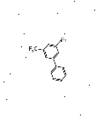 CC(C)c1cc(-c2ccccc2)cc(C(F)(F)F)c1